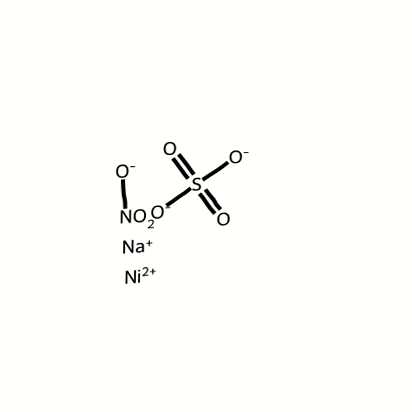 O=S(=O)([O-])[O-].O=[N+]([O-])[O-].[Na+].[Ni+2]